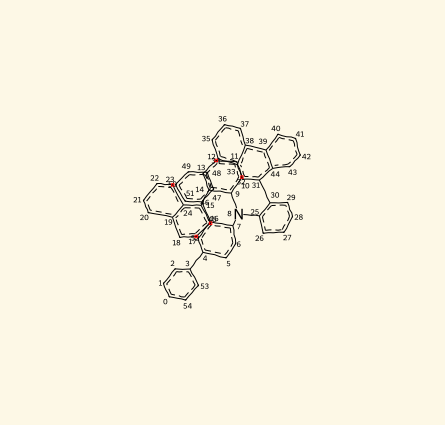 c1ccc(-c2ccc(N(c3ccccc3-c3cccc4ccccc34)c3ccccc3-c3cc4ccccc4c4ccccc34)c(-c3ccccc3)c2)cc1